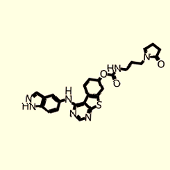 O=C(NCCCN1CCCC1=O)OC1CCc2c(sc3ncnc(Nc4ccc5[nH]ncc5c4)c23)C1